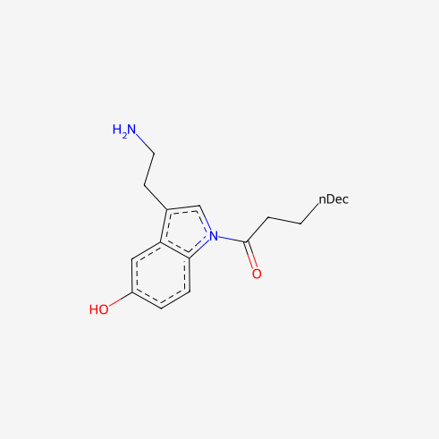 CCCCCCCCCCCCC(=O)n1cc(CCN)c2cc(O)ccc21